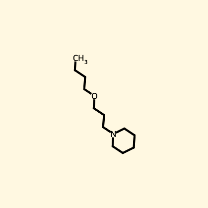 CCCCOCCCN1CCCCC1